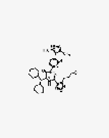 Cc1n[nH]c(C)c1-c1ccc(NC(=O)[C@@H](NC(=O)c2nonc2CCCO)C(C2CCCCC2)C2CCCCC2)nc1F